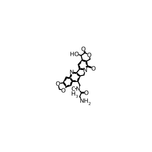 CN(Cc1c2c(nc3cc4c(cc13)OCO4)-c1cc3c(c(=O)n1C2)COC(=O)C3O)C(=O)CN